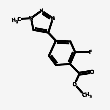 COC(=O)c1ccc(-c2cn(C)nn2)cc1F